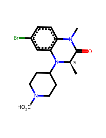 C[C@@H]1C(=O)N(C)c2ccc(Br)cc2N1C1CCN(C(=O)O)CC1